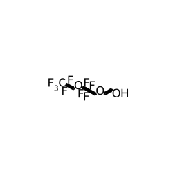 OCCOCC(F)(F)C(F)(F)OCC(F)(F)C(F)(F)F